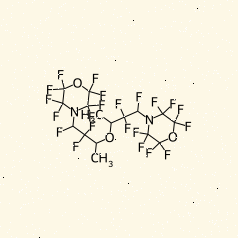 CC(OC(C)C(F)(F)C(F)N1C(F)(F)C(F)(F)OC(F)(F)C1(F)F)C(F)(F)C(F)N1C(F)(F)C(F)(F)OC(F)(F)C1(F)F